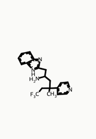 CC(CC(N)Cc1nc2ccccc2[nH]1)(CC(F)(F)F)c1ccncc1